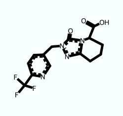 O=C(O)C1CCCc2nn(Cc3ccc(C(F)(F)F)nc3)c(=O)n21